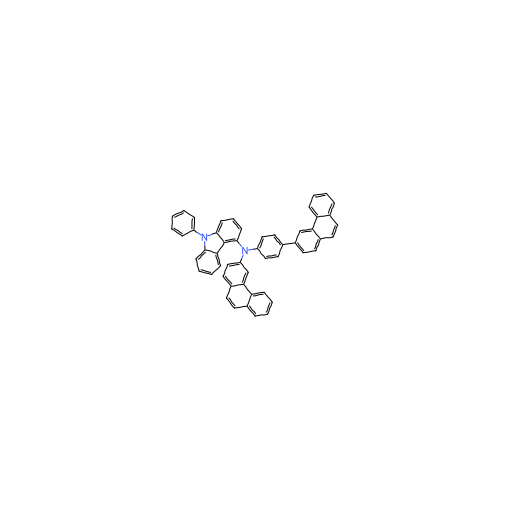 c1ccc(-n2c3ccccc3c3c(N(c4ccc(-c5ccc6ccc7ccccc7c6c5)cc4)c4ccc5ccc6ccccc6c5c4)cccc32)cc1